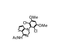 COc1cc(OC)c(Cl)c(N2CN=C(NC(C)=O)c3sccc32)c1Cl